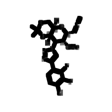 C=C=C[C@H]1O[C@@H]2COC(C)(C)O[C@@H]2C(n2cc(-c3ccc(Cl)c(F)c3F)nn2)[C@H]1OC